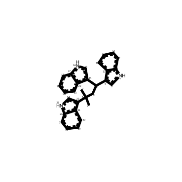 CC(C)(CC(c1c[nH]c2ccccc12)c1c[nH]c2ccccc12)c1c[nH]c2ccccc12